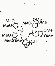 COc1cc2c(cc1OC)[C@@H](c1cc(OC)c(OC)c(OC)c1)[N@@+](C)(CCCC(C(=O)O)=C(CCC[N@@+]1(C)CCc3cc(OC)c(OC)cc3[C@H]1c1cc(OC)c(OC)c(OC)c1)C(=O)O)CC2.[Cl-].[Cl-]